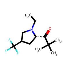 CCN1CC(C(F)(F)F)C[C@H]1C(=O)C(C)(C)C